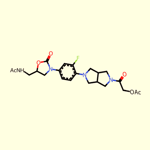 CC(=O)NCC1CN(c2ccc(N3CC4CN(C(=O)COC(C)=O)CC4C3)c(F)c2)C(=O)O1